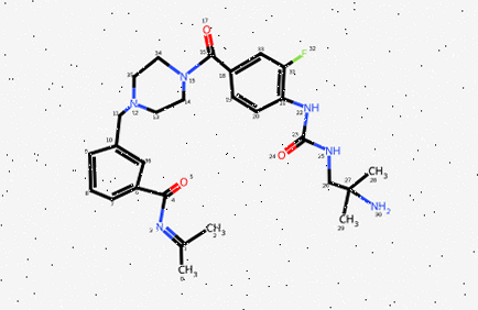 CC(C)=NC(=O)c1cccc(CN2CCN(C(=O)c3ccc(NC(=O)NCC(C)(C)N)c(F)c3)CC2)c1